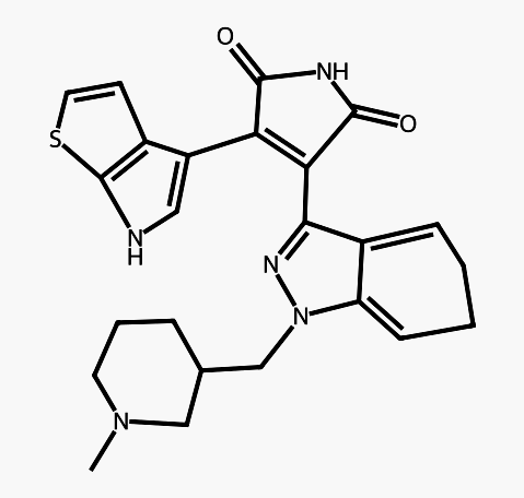 CN1CCCC(Cn2nc(C3=C(c4c[nH]c5sccc45)C(=O)NC3=O)c3c2=CCCC=3)C1